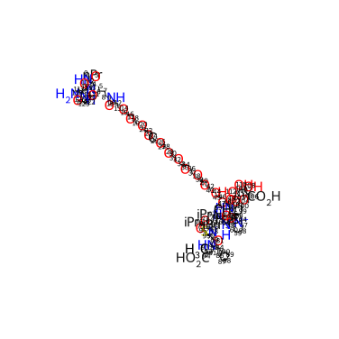 CCCNC(=O)[C@H](CCCCNC(=O)CCOCCOCCOCCOCCOCCOCCOCCOCCOCCOCCOCCOC(=O)Nc1cc(C[N+]2(C)CCCC[C@@H]2C(=O)N[C@H](C(=O)N(C)[C@H](C[C@@H](OC(=O)C(C)C)c2nc(C(=O)N[C@@H](Cc3ccccc3)C[C@H](C)C(=O)O)cs2)C(C)C)[C@@H](C)CC)ccc1O[C@@H]1O[C@H](C(=O)O)[C@@H](O)[C@H](O)[C@H]1O)NC(=O)[C@H](CN)N1C(=O)C=CC1=O